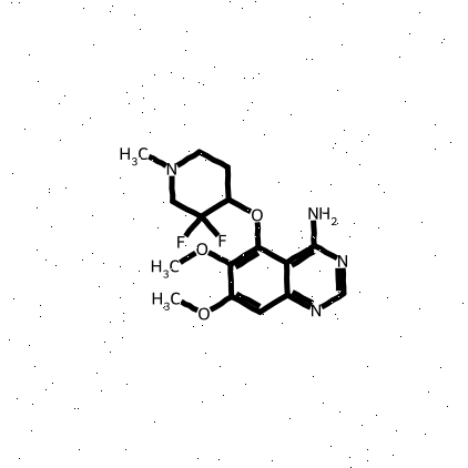 COc1cc2ncnc(N)c2c(OC2CCN(C)CC2(F)F)c1OC